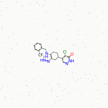 N=NC1=C(NCc2ccccc2C(F)(F)F)CCC(c2cn[nH]c(=O)c2Cl)C1